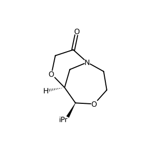 CC(C)[C@@H]1OCCN2C[C@@H]1OCC2=O